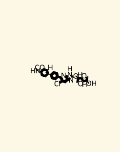 O=C(O)N[C@H]1CC[C@@H](c2ccc(-c3nc4[nH]c(O[C@@H]5CO[C@H]6[C@@H]5OC[C@H]6O)nc4cc3Cl)cc2)CC1